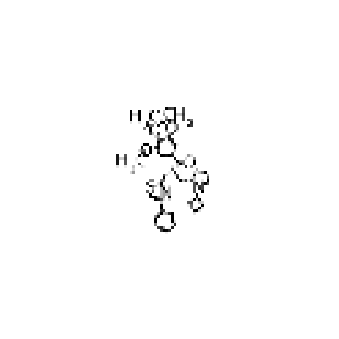 COc1cc(C(=O)N(Cc2nc(-c3ccccc3)cs2)C[C@@H]2CCCN2C2CCC2)cc2c1OC(C)(C)O2